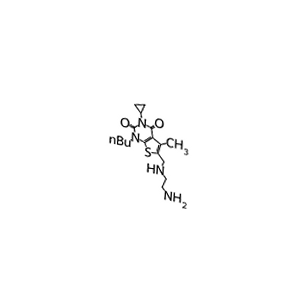 CCCCn1c(=O)n(C2CC2)c(=O)c2c(C)c(CNCCN)sc21